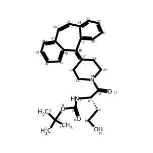 CC(C)(C)OC(=O)N[C@@H](CCO)C(=O)N1CCC(=C2c3ccccc3C=Cc3ccccc32)CC1